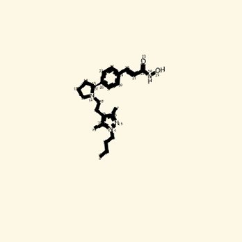 CCCCn1nc(C)c(CCN2CCC[C@H]2c2ccc(C=CC(=O)NO)cc2)c1C